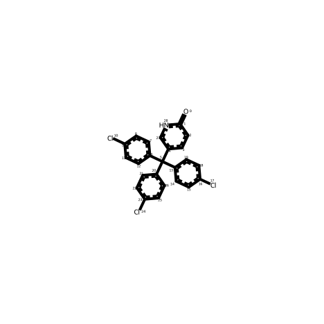 O=c1ccc(C(c2ccc(Cl)cc2)(c2ccc(Cl)cc2)c2ccc(Cl)cc2)c[nH]1